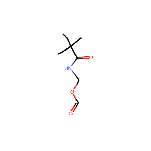 CC(C)(C)C(=O)NCOC=O